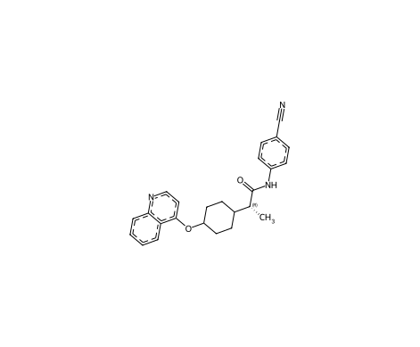 C[C@@H](C(=O)Nc1ccc(C#N)cc1)C1CCC(Oc2ccnc3ccccc23)CC1